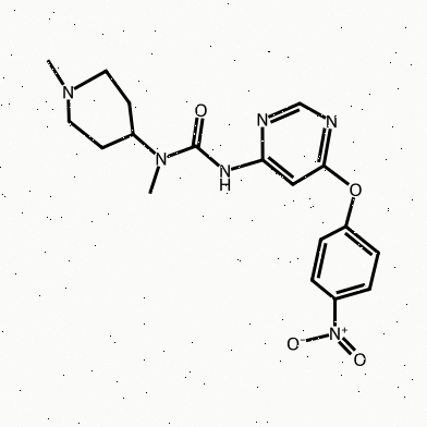 CN1CCC(N(C)C(=O)Nc2cc(Oc3ccc([N+](=O)[O-])cc3)ncn2)CC1